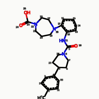 Cc1ccc(C2CCN(C(=O)Nc3ccccc3N3CCCN(C(=O)O)CC3)CC2)cc1